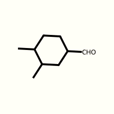 CC1CCC(C=O)CC1C